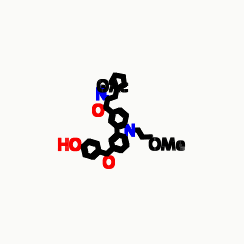 COCCCn1c2ccc(C(=O)/C(CC3CCCC3)=N/OC(C)=O)cc2c2cc(C(=O)c3ccc(O)cc3)ccc21